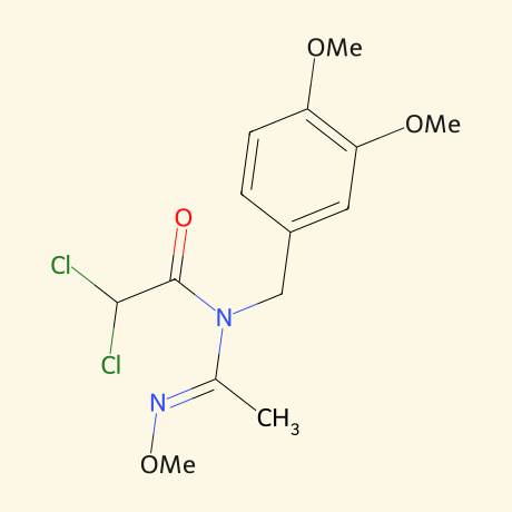 CO/N=C(\C)N(Cc1ccc(OC)c(OC)c1)C(=O)C(Cl)Cl